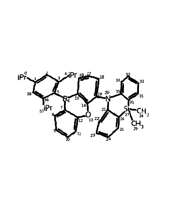 CC(C)c1cc(C(C)C)c(B2c3ccccc3Oc3c2cccc3N2c3ccccc3[Si](C)(C)c3ccccc32)c(C(C)C)c1